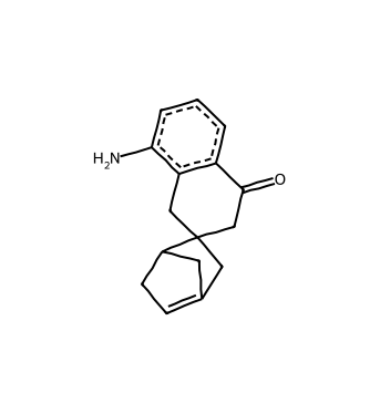 Nc1cccc2c1CC1(CC2=O)CC2=CCC1C2